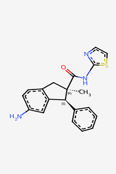 C[C@@]1(C(=O)Nc2nccs2)Cc2ccc(N)cc2[C@@H]1c1ccccc1